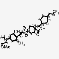 COCCN(C(C)=O)c1cc(C)c(C=CS(=O)(=O)N2CCC3(CC2)N=C(C2CCC(CCC(F)(F)F)CC2)NC3=O)c(C)c1